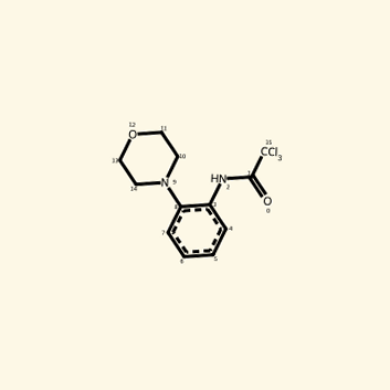 O=C(Nc1ccccc1N1CCOCC1)C(Cl)(Cl)Cl